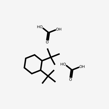 CC(C)(C)C1CCCCC1C(C)(C)C.O=C(O)O.O=C(O)O